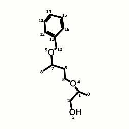 CC(CO)OCCC(C)OCc1ccccc1